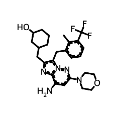 Cc1c(Cc2c(CC3CCCC(O)C3)nc3c(N)cc(N4CCOCC4)nn23)cccc1C(F)(F)F